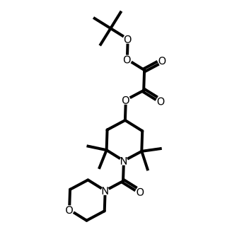 CC(C)(C)OOC(=O)C(=O)OC1CC(C)(C)N(C(=O)N2CCOCC2)C(C)(C)C1